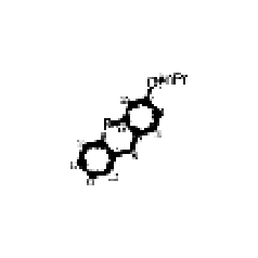 CCCOc1ccc(Cc2c[c]ccc2)c(F)c1